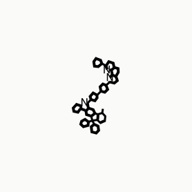 CC1CC=CC2=C1c1cc3c(-c4ccc(-c5ccc(-c6ccc7ccc8ccc(-c9ccccc9)nc8c7n6)cc5)cc4)nc4ccccc4c3cc1C2(c1ccccc1)c1ccccc1